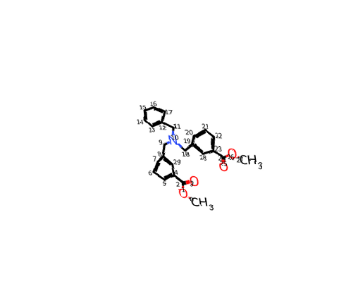 COC(=O)c1cccc(CN(Cc2ccccc2)Cc2cccc(C(=O)OC)c2)c1